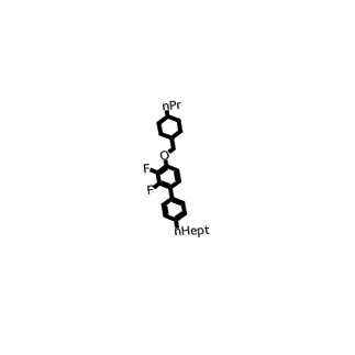 CCCCCCCc1ccc(-c2ccc(OCC3CCC(CCC)CC3)c(F)c2F)cc1